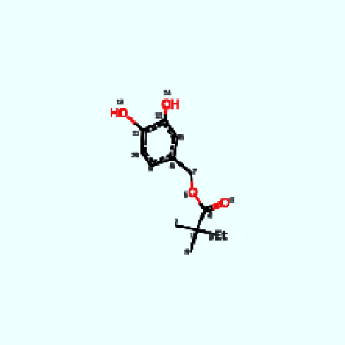 CCC(C)(C)C(=O)OCc1ccc(O)c(O)c1